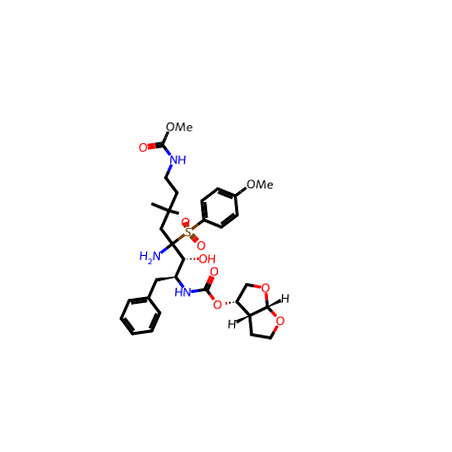 COC(=O)NCCC(C)(C)CC(N)([C@H](O)[C@H](Cc1ccccc1)NC(=O)O[C@@H]1CO[C@@H]2OCC[C@@H]21)S(=O)(=O)c1ccc(OC)cc1